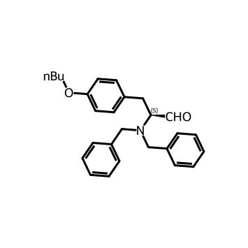 CCCCOc1ccc(C[C@@H](C=O)N(Cc2ccccc2)Cc2ccccc2)cc1